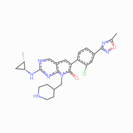 Cc1nc(-c2ccc(-c3cc4cnc(N[C@H]5C[C@@H]5C)nc4n(CC4CCNCC4)c3=O)c(Cl)c2)no1